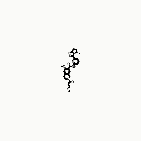 COCCC(=O)N1CCc2cc(OC)c(C(=O)Nc3cccc(-c4nnc5n4[C@@H](C)CC5)n3)cc2C1